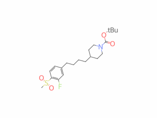 CC(C)(C)OC(=O)N1CCC(CCCCc2ccc(S(C)(=O)=O)c(F)c2)CC1